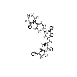 O=C(NCC1CN(c2ccc(-n3ccccc3=O)cc2)C(=O)O1)c1ccc(Cl)s1